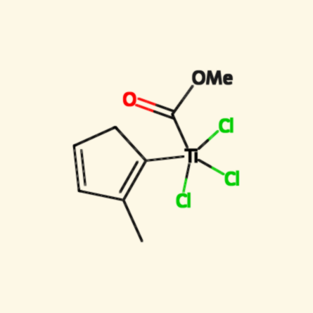 CO[C](=O)[Ti]([Cl])([Cl])([Cl])[C]1=C(C)C=CC1